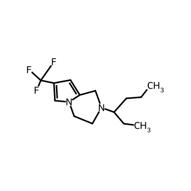 CCCC(CC)N1CCn2cc(C(F)(F)F)cc2C1